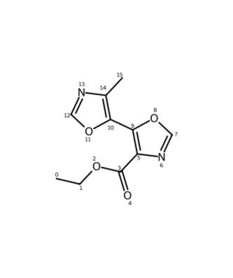 CCOC(=O)c1ncoc1-c1ocnc1C